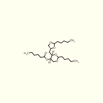 CCCCCC1OC[C@@H]2OC(CCCCC)O[C@H]([C@H]3COC(CCCCC)O3)[C@@H]2O1